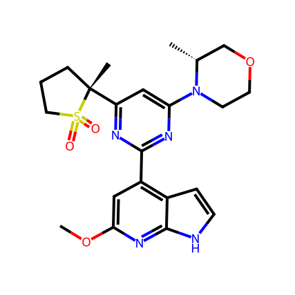 COc1cc(-c2nc(N3CCOC[C@H]3C)cc([C@@]3(C)CCCS3(=O)=O)n2)c2cc[nH]c2n1